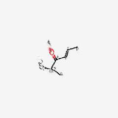 CC=CC(=O)[C@@H](C)CC